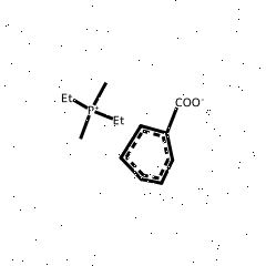 CC[P+](C)(C)CC.O=C([O-])c1ccccc1